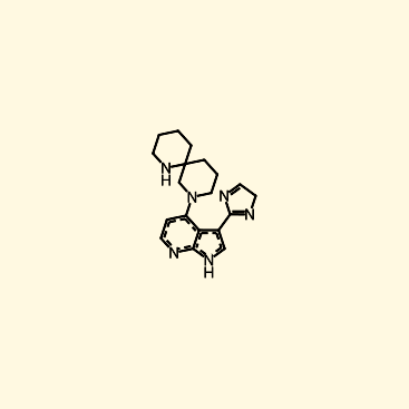 C1=NC(c2c[nH]c3nccc(N4CCCC5(CCCCN5)C4)c23)=NC1